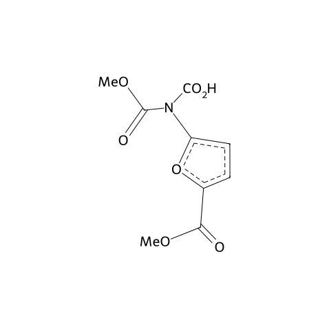 COC(=O)c1ccc(N(C(=O)O)C(=O)OC)o1